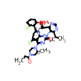 C=CC(=O)N1CCN(c2nc(=O)n(-c3c(C(C)C)ncnc3C(C)C)c3nc(-c4c(O)cccc4F)cc(F)c23)[C@@H](C)C1